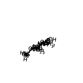 CN(C)[C@H](CNC(=O)NCC/C(=C/NCC(C)(C)COC(C)(C)CNC(=O)CCCC[C@H]1SC[C@@H]2NC(=O)NC21)N=N)Cc1ccc(O)cc1